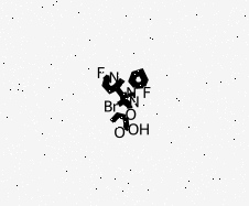 CCC(Oc1nn(-c2ccccc2F)c(-c2ccc(F)nc2)c1Br)C(=O)O